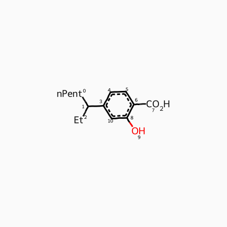 CCCCCC(CC)c1ccc(C(=O)O)c(O)c1